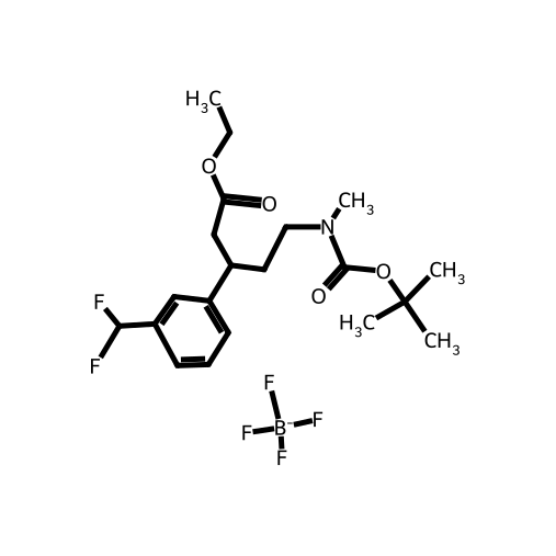 CCOC(=O)CC(CCN(C)C(=O)OC(C)(C)C)c1cccc(C(F)F)c1.F[B-](F)(F)F